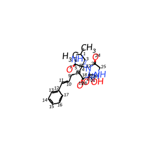 CC(C)C[C@](C(N)=O)([C@H](CC=Cc1ccccc1)C(=O)NO)N1C(=O)CNC1=O